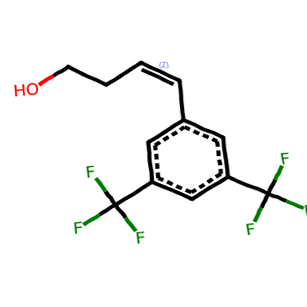 OCC/C=C\c1cc(C(F)(F)F)cc(C(F)(F)F)c1